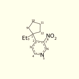 CCC1(c2ccncc2[N+](=O)[O-])CCCC1